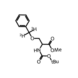 [2H]C([2H])(OCC(NC(=O)OC(C)(C)C)C(=O)OC)c1ccccc1